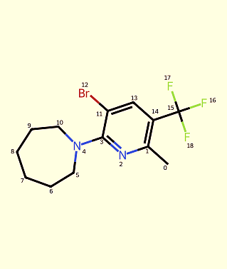 Cc1nc(N2CCCCCC2)c(Br)cc1C(F)(F)F